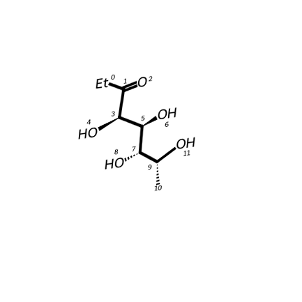 CCC(=O)[C@H](O)[C@@H](O)[C@@H](O)[C@@H](C)O